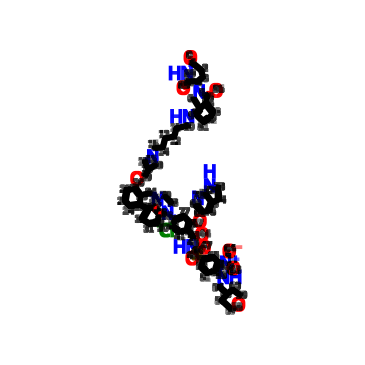 O=C1CCC(N2Cc3c(NCCCCCCN4CC(COc5cccc(-c6ccc(Cl)cc6)c5CN5CCN(c6ccc(C(=O)NS(=O)(=O)c7ccc(NCC8CCOCC8)c([N+](=O)[O-])c7)c(Oc7cnc8[nH]ccc8c7)c6)CC5)C4)cccc3C2=O)C(=O)N1